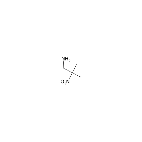 CC(C)(CN)[N+](=O)[O-]